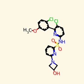 COc1ccc(Cl)c(-c2nc(NS(=O)(=O)c3cccc(N4CC(O)C4)n3)ccc2Cl)c1